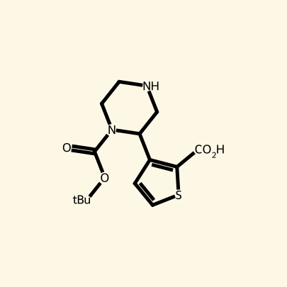 CC(C)(C)OC(=O)N1CCNCC1c1ccsc1C(=O)O